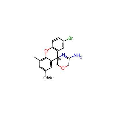 COc1cc(C)c2c(c1)[C@]1(COCC(N)=N1)c1cc(Br)ccc1O2